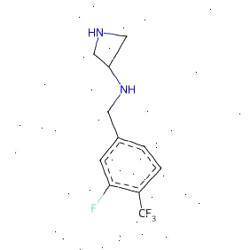 Fc1cc(CNC2CNC2)ccc1C(F)(F)F